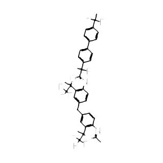 CC1=Nc2ccc(Cc3ccc4c(c3)C(C)(C(F)(F)F)OC(C(F)(F)c3ccc(-c5ccc(C(C)(F)F)cc5)cc3)=N4)cc2C(C)(C(F)(F)F)O1